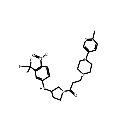 Cc1ccc(N2CCN(CCC(=O)N3CCC(Nc4ccc([N+](=O)[O-])c(C(F)(F)F)c4)C3)CC2)cn1